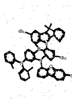 Cc1ccccc1N(C1=CC=CCC1C)c1ccc2c(c1)N(c1cccc3c1oc1cc(C(C)(C)C)ccc13)c1cc(C(C)(C)C)cc3c1B2c1cc(C(C)(C)C)cc2c4c(n-3c12)-c1ccccc1C4(C)C